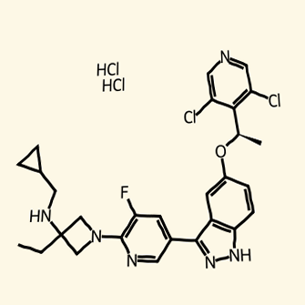 CCC1(NCC2CC2)CN(c2ncc(-c3n[nH]c4ccc(O[C@H](C)c5c(Cl)cncc5Cl)cc34)cc2F)C1.Cl.Cl